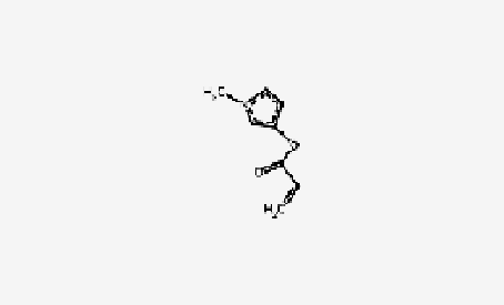 C=CC(=O)Oc1ccn(C)c1